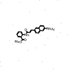 COC(=O)c1ccccc1NC(=O)/C=C/c1ccc2cc(NC(C)=O)ccc2c1